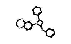 C1=CCC(/N=C2\CC(C3=CCCC=C3)N2c2ccc3c(c2)OCCO3)C=C1